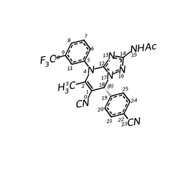 [C-]#[N+]C1=C(C)N(c2cccc(C(F)(F)F)c2)c2nc(NC(C)=O)nn2[C@@H]1c1ccc(C#N)cc1